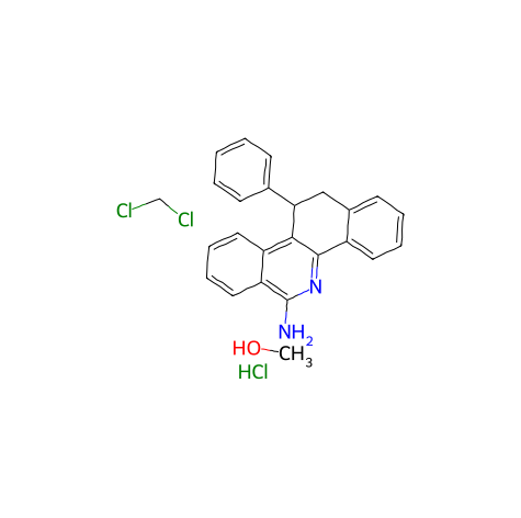 CO.Cl.ClCCl.Nc1nc2c(c3ccccc13)C(c1ccccc1)Cc1ccccc1-2